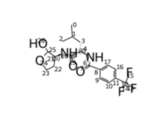 CC(C)C[C@H](NC(=O)c1ccc(C(F)(F)F)cc1)C(=O)N[C@H]1CCOC1O